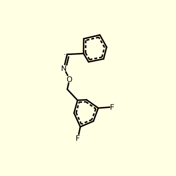 Fc1cc(F)cc(CO/N=[C]\c2ccccc2)c1